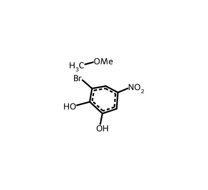 COC.O=[N+]([O-])c1cc(O)c(O)c(Br)c1